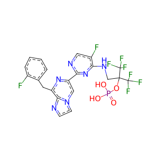 O=P(O)(O)OC(CNc1nc(-c2cn3ccnc3c(Cc3ccccc3F)n2)ncc1F)(C(F)(F)F)C(F)(F)F